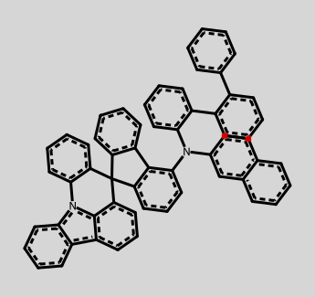 c1ccc(-c2ccccc2-c2ccccc2N(c2ccc3ccccc3c2)c2cccc3c2-c2ccccc2C32c3ccccc3-n3c4ccccc4c4cccc2c43)cc1